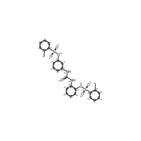 Cc1ccccc1S(=O)(=O)Oc1cccc(NC(=O)Nc2ccccc2OS(=O)(=O)c2ccccc2C)c1